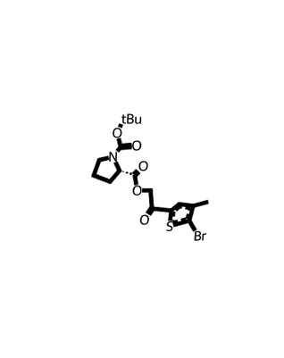 Cc1cc(C(=O)COC(=O)[C@@H]2CCCN2C(=O)OC(C)(C)C)sc1Br